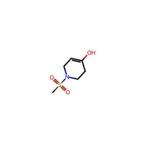 CS(=O)(=O)N1CC=C(O)CC1